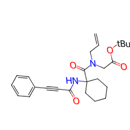 C=CCN(CC(=O)OC(C)(C)C)C(=O)C1(NC(=O)C#Cc2ccccc2)CCCCC1